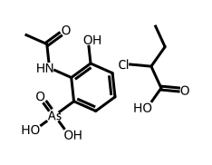 CC(=O)Nc1c(O)cccc1[As](=O)(O)O.CCC(Cl)C(=O)O